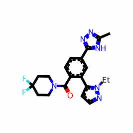 CCn1nccc1-c1cc(-c2nnc(C)[nH]2)ccc1C(=O)N1CCC(F)(F)CC1